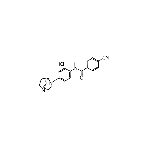 Cl.N#Cc1ccc(C(=O)Nc2ccc(N3CCN4CCC3CC4)cc2)cc1